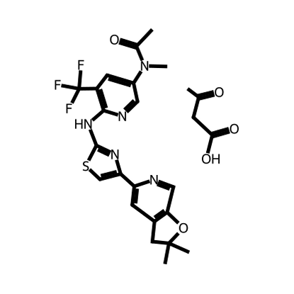 CC(=O)CC(=O)O.CC(=O)N(C)c1cnc(Nc2nc(-c3cc4c(cn3)OC(C)(C)C4)cs2)c(C(F)(F)F)c1